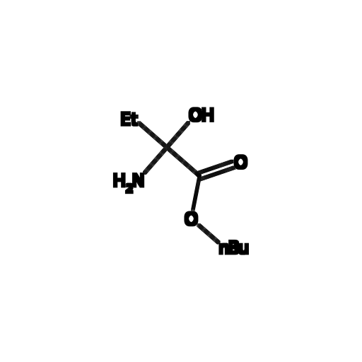 CCCCOC(=O)C(N)(O)CC